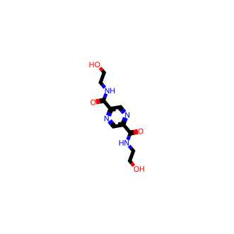 O=C(NCCO)c1cnc(C(=O)NCCO)cn1